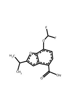 CC(C)c1cc2c(C(=O)O)ccc(OC(F)F)c2o1